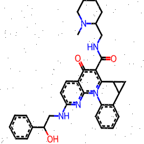 CN1CCCCC1CNC(=O)c1c2n(c3nc(NCC(O)c4ccccc4)ccc3c1=O)-c1ccccc1C1CC21